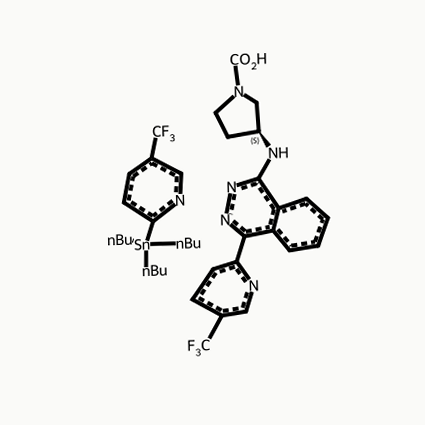 CCC[CH2][Sn]([CH2]CCC)([CH2]CCC)[c]1ccc(C(F)(F)F)cn1.O=C(O)N1CC[C@H](Nc2nnc(-c3ccc(C(F)(F)F)cn3)c3ccccc23)C1